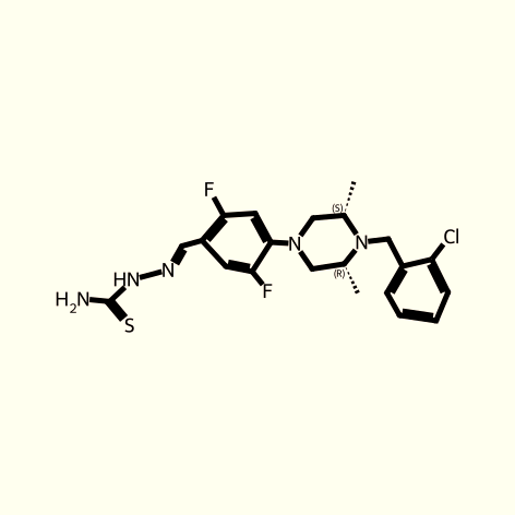 C[C@@H]1CN(c2cc(F)c(C=NNC(N)=S)cc2F)C[C@H](C)N1Cc1ccccc1Cl